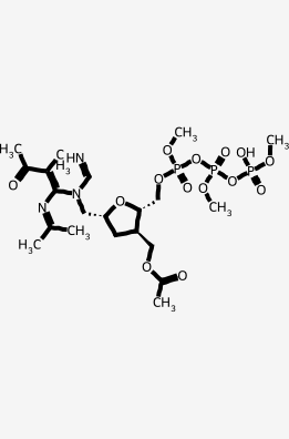 COP(=O)(O)OP(=O)(OC)OP(=O)(OC)OC[C@H]1O[C@@H](CN(C=N)/C(N=C(C)C)=C(\C)C(C)=O)C[C@@H]1COC(C)=O